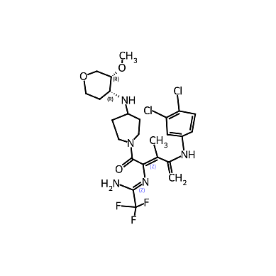 C=C(Nc1ccc(Cl)c(Cl)c1)/C(C)=C(\N=C(/N)C(F)(F)F)C(=O)N1CCC(N[C@@H]2CCOC[C@@H]2OC)CC1